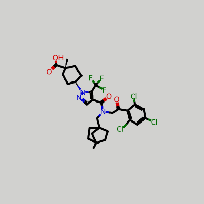 CC12CCC(CN(CC(=O)c3c(Cl)cc(Cl)cc3Cl)C(=O)c3cnn([C@H]4CC[C@](C)(C(=O)O)CC4)c3C(F)(F)F)(CC1)C2